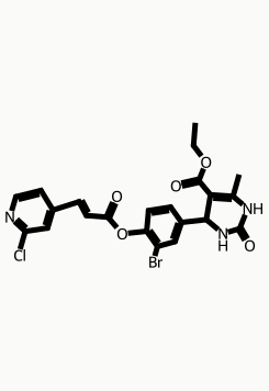 CCOC(=O)C1=C(C)NC(=O)NC1c1ccc(OC(=O)/C=C/c2ccnc(Cl)c2)c(Br)c1